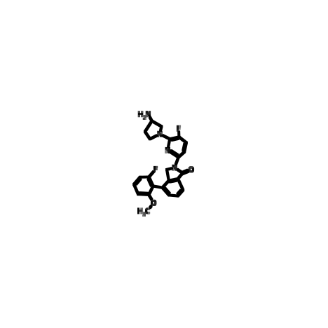 COc1cccc(F)c1-c1cccc2c1CN(c1ccc(F)c(N3CCC(N)C3)n1)C2=O